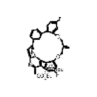 C=C1COc2cc(F)ccc2-c2cccc(c2)-c2cc3nc(C)c([C@H](OC(C)(C)C)C(=O)OCC)c(n3n2)-c2ccc(F)cc2OC1